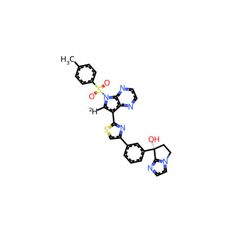 [2H]c1c(-c2nc(-c3cccc([C@@]4(O)CCn5ccnc54)c3)cs2)c2nccnc2n1S(=O)(=O)c1ccc(C)cc1